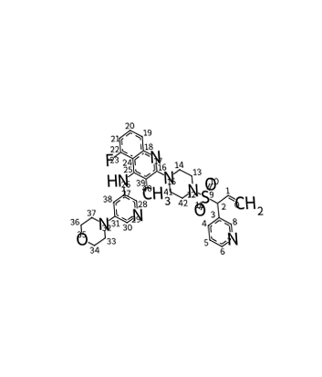 C=CC(c1cccnc1)S(=O)(=O)N1CCN(c2nc3cccc(F)c3c(Nc3cncc(N4CCOCC4)c3)c2C)CC1